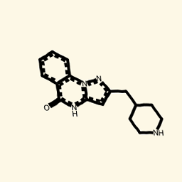 O=c1[nH]c2cc(CC3CCNCC3)nn2c2ccccc12